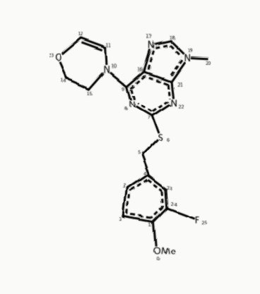 COc1ccc(CSc2nc(N3C=COCC3)c3ncn(C)c3n2)cc1F